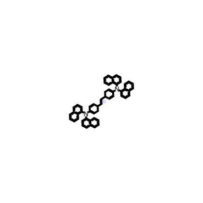 C1=CC(/C=C/C2C=CC(N(c3cccc4ccccc34)c3cccc4ccccc34)=CC2)CC=C1N(c1cccc2ccccc12)c1cccc2ccccc12